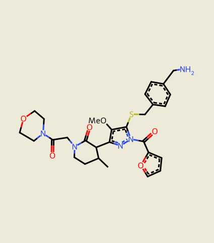 COc1c(C2C(=O)N(CC(=O)N3CCOCC3)CCC2C)nn(C(=O)c2ccco2)c1SCc1ccc(CN)cc1